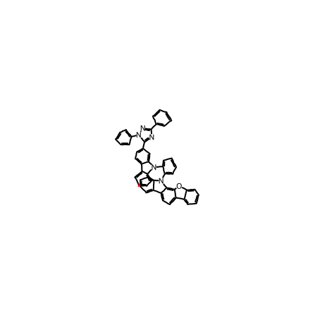 c1ccc(-c2nc(-c3ccc4c5ccccc5n(-c5ccccc5-n5c6ccccc6c6ccc7c8ccccc8oc7c65)c4c3)n(-c3ccccc3)n2)cc1